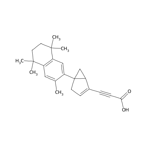 Cc1cc2c(cc1C13CC=C(C#CC(=O)O)C1C3)C(C)(C)CCC2(C)C